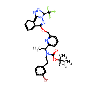 CC(c1cccc(COC2=NN3C(=C4CC=CC=C24)N=N[C@H]3C(F)(F)F)n1)N(CCc1cccc(Br)c1)C(=O)OC(C)(C)C